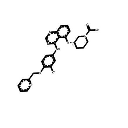 O=C(O)N1CCC[C@H](Oc2cccc3ncnc(Nc4ccc(OCc5ccccn5)c(Cl)c4)c23)C1